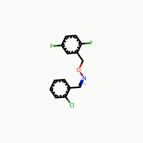 Fc1ccc(F)c(CO/N=[C]\c2ccccc2Cl)c1